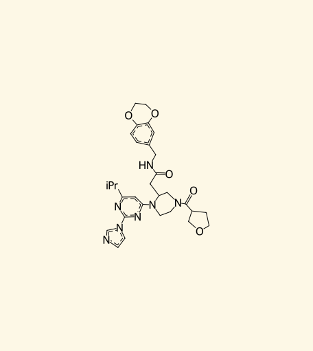 CC(C)c1cc(N2CCN(C(=O)C3CCOC3)CC2CC(=O)NCc2ccc3c(c2)OCCO3)nc(-n2ccnc2)n1